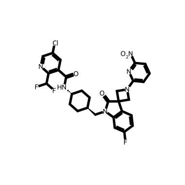 O=C(N[C@H]1CC[C@H](CN2C(=O)C3(CN(c4cccc([N+](=O)[O-])n4)C3)c3ccc(F)cc32)CC1)c1cc(Cl)cnc1C(F)F